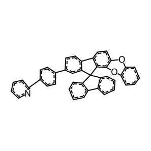 c1ccc(-c2ccc(-c3ccc4c(c3)C3(c5ccccc5-c5ccccc53)c3c-4ccc4c3Oc3ccccc3O4)cc2)nc1